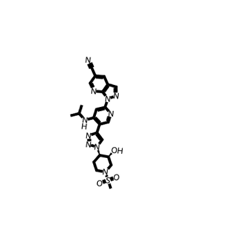 CC(C)Nc1cc(-n2ncc3cc(C#N)cnc32)ncc1-c1cn([C@@H]2CCN(S(C)(=O)=O)C[C@@H]2O)nn1